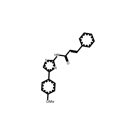 COc1ccc(-c2csc(NC(=O)C=Cc3ccccc3)n2)cc1